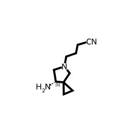 N#CCCCN1C[C@@H](N)C2(CC2)C1